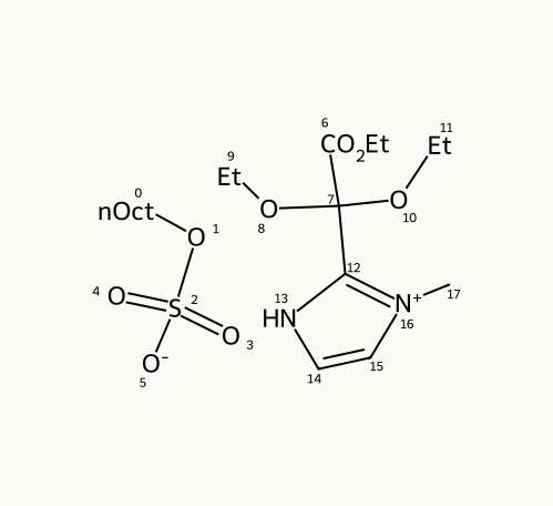 CCCCCCCCOS(=O)(=O)[O-].CCOC(=O)C(OCC)(OCC)c1[nH]cc[n+]1C